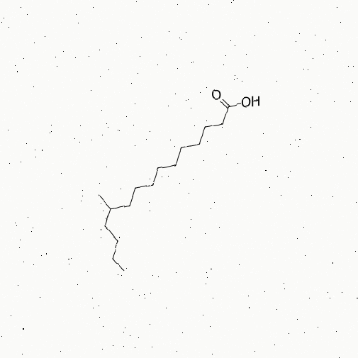 CCCCC(C)CCCCCCCCCC(=O)O